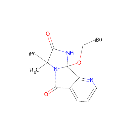 CCC(C)COC12NC(=O)C(C)(C(C)C)N1C(=O)c1cccnc12